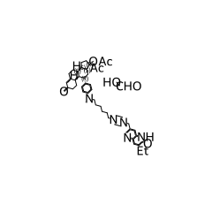 CCc1cc2ncc(CN3CCN(CCCCCCN(C)c4ccc([C@H]5C[C@@]6(C)[C@@H](CC[C@]6(OC(C)=O)C(C)=O)[C@@H]6CCC7=CC(=O)CCC7=C65)cc4)CC3)cc2[nH]c1=O.O=CO